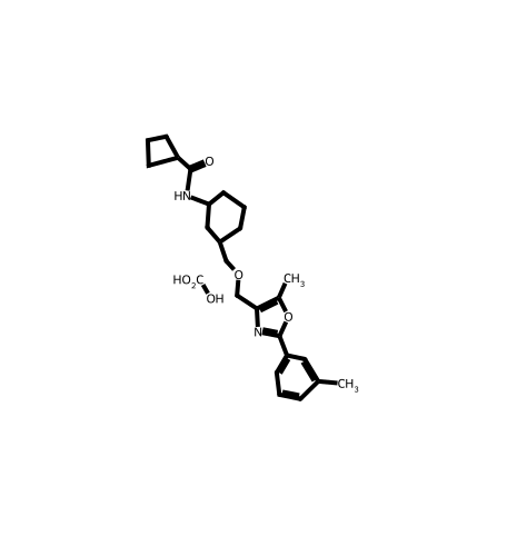 Cc1cccc(-c2nc(COCC3CCCC(NC(=O)C4CCC4)C3)c(C)o2)c1.O=C(O)O